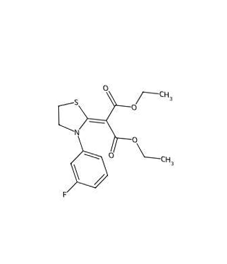 CCOC(=O)C(C(=O)OCC)=C1SCCN1c1cccc(F)c1